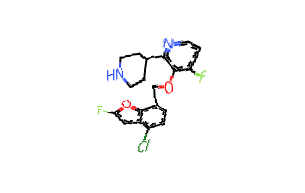 Fc1cc2c(Cl)ccc(COc3c(F)ccnc3C3CCNCC3)c2o1